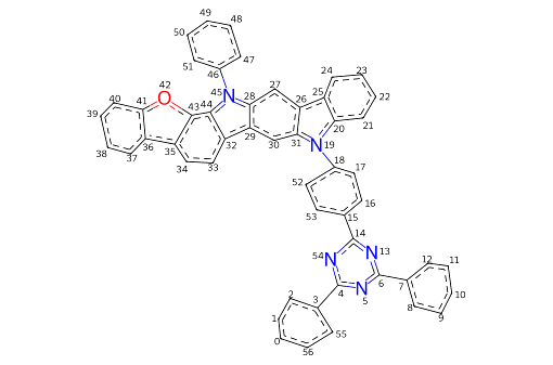 c1ccc(-c2nc(-c3ccccc3)nc(-c3ccc(-n4c5ccccc5c5cc6c(cc54)c4ccc5c7ccccc7oc5c4n6-c4ccccc4)cc3)n2)cc1